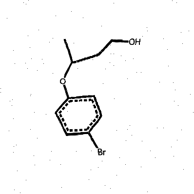 CC(CCO)Oc1ccc(Br)cc1